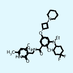 CCN(c1cc(O[C@H]2C[C@H](N3CCCCC3)C2)cc(C(=O)NCc2c(C)cc(C)[nH]c2=O)c1C)C1CCC(F)(F)CC1